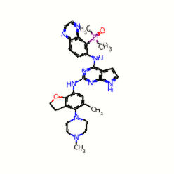 Cc1cc(Nc2nc(Nc3ccc4nccnc4c3P(C)(C)=O)c3cc[nH]c3n2)c2c(c1N1CCN(C)CC1)CCO2